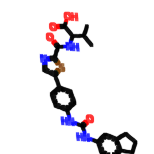 CC(C)C(NC(=O)c1ncc(-c2ccc(NC(=O)Nc3ccc4c(c3)CCC4)cc2)s1)C(=O)O